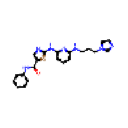 O=C(Nc1ccccc1)c1cnc(Nc2cccc(NCCCn3ccnc3)n2)s1